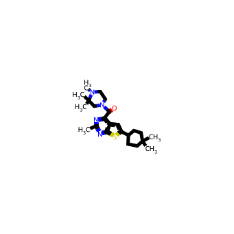 Cc1nc(C(=O)N2CCN(C)C(C)(C)C2)c2cc(C3CCC(C)(C)CC3)sc2n1